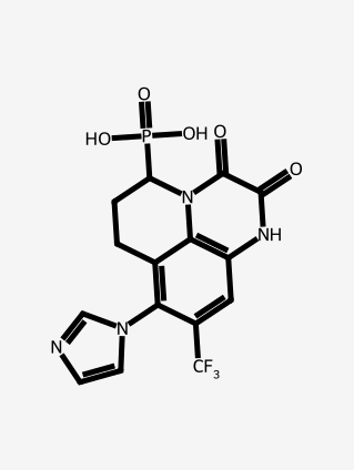 O=c1[nH]c2cc(C(F)(F)F)c(-n3ccnc3)c3c2n(c1=O)C(P(=O)(O)O)CC3